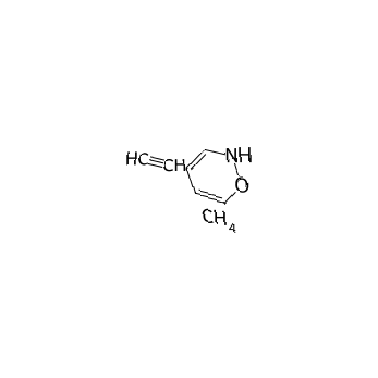 C.C#C.C1=CNOC=C1